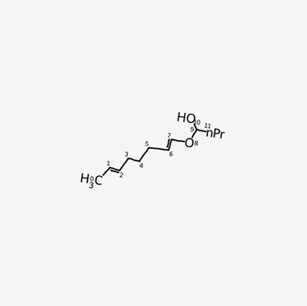 CC=CCCCC=COC(O)CCC